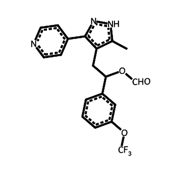 Cc1[nH]nc(-c2ccncc2)c1CC(OC=O)c1cccc(OC(F)(F)F)c1